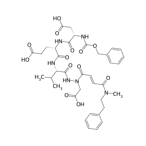 CC(C)[C@H](NC(=O)[C@H](CCC(=O)O)NC(=O)[C@H](CC(=O)O)NC(=O)OCc1ccccc1)C(=O)NN(CC(=O)O)C(=O)/C=C/C(=O)N(C)CCc1ccccc1